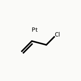 C=CCCl.[Pt]